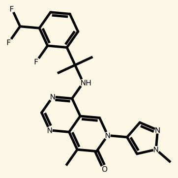 Cc1c(=O)n(-c2cnn(C)c2)cc2c(NC(C)(C)c3cccc(C(F)F)c3F)ncnc12